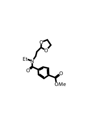 CCN(CCC1OCCO1)C(=O)c1ccc(C(=O)OC)cc1